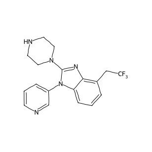 FC(F)(F)Cc1cccc2c1nc(N1CCNCC1)n2-c1cccnc1